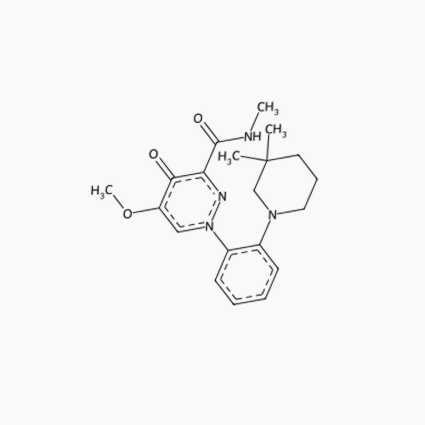 CNC(=O)c1nn(-c2ccccc2N2CCCC(C)(C)C2)cc(OC)c1=O